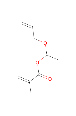 C=CCOC(C)OC(=O)C(=C)C